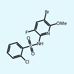 COc1nc(NS(=O)(=O)c2ccccc2Cl)c(F)cc1Br